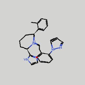 Cc1ccccc1[C@@H]1CCC[C@H](c2ncc[nH]2)N1Cc1ccccc1-n1cccn1